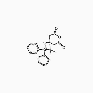 CC(C)(C)[Si](OC1CC(=O)OC(=O)C1)(c1ccccc1)c1ccccc1